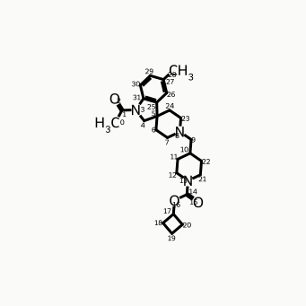 CC(=O)N1CC2(CCN(CC3CCN(C(=O)OC4CCC4)CC3)CC2)c2cc(C)ccc21